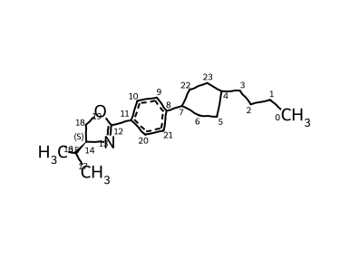 CCCCC1CCC(c2ccc(C3=N[C@@H](C(C)C)CO3)cc2)CC1